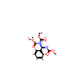 COC(=O)N=C(c1cc[c]cc1)N(C(=O)OC)C(=O)OC